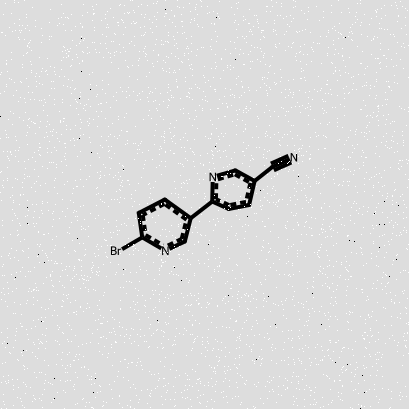 N#Cc1ccc(-c2ccc(Br)nc2)nc1